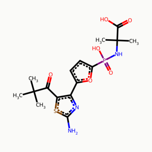 CC(C)(C)C(=O)c1sc(N)nc1-c1ccc(P(=O)(O)NC(C)(C)C(=O)O)o1